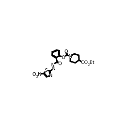 CCOC(=O)C1CCN(C(=O)Oc2ccccc2C(=O)N=Nc2ncc([N+](=O)[O-])s2)CC1